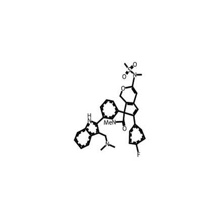 CNC(=O)C1(c2cccc(-c3[nH]c4ccccc4c3CN(C)C)c2)C(c2ccc(F)cc2)=CC2=C1COC(N(C)S(C)(=O)=O)=C2